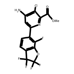 COC(=O)c1nc(-c2ccc3c(c2F)OC(F)(F)C3(F)F)cc(N)c1Cl